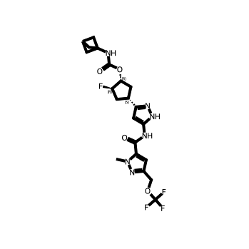 Cn1nc(COC(F)(F)F)cc1C(=O)Nc1cc([C@@H]2C[C@@H](F)[C@H](OC(=O)NC34CC(C3)C4)C2)n[nH]1